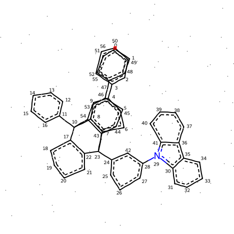 c1ccc(-c2ccc3c(c2)C2(c4ccccc4)c4ccccc4C3(c3cccc(-n4c5ccccc5c5ccccc54)c3)c3ccc(-c4ccccc4)cc32)cc1